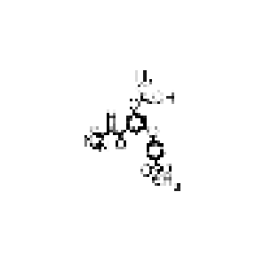 C[C@@H](CO)Oc1cc(Oc2ccc(S(C)(=O)=O)cc2)cc(C(=O)Nc2ncns2)c1